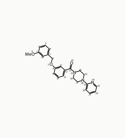 COc1cccc(COc2cccc(C(=O)N3CCN(c4ccccn4)CC3)c2)c1